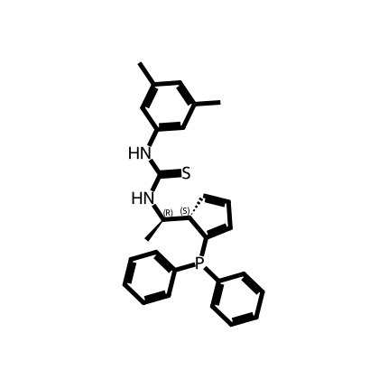 Cc1cc(C)cc(NC(=S)N[C@H](C)[C@@H]2C=CC=C2P(c2ccccc2)c2ccccc2)c1